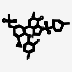 Cc1ccc(S(=O)(=O)n2ccc3c(-c4cc(CS(C)(=O)=O)cc(C5CC5)c4Nc4ccc(F)cc4F)cn(C)c(=O)c32)cc1